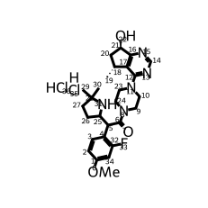 COc1ccc(C(C(=O)N2CCN(c3ncnc4c3[C@H](C)C[C@H]4O)CC2)C2CCC(C)(C)N2)c(F)c1.Cl.Cl